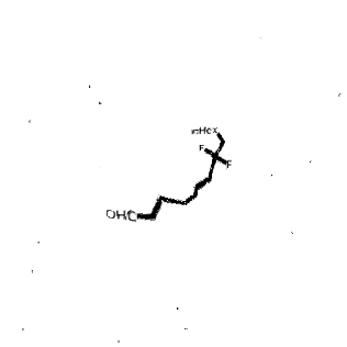 CCCCCCCC(F)(F)CCCCCC=O